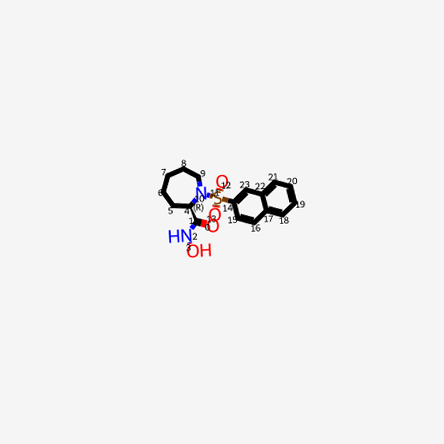 O=C(NO)[C@H]1CCCCCN1S(=O)(=O)c1ccc2ccccc2c1